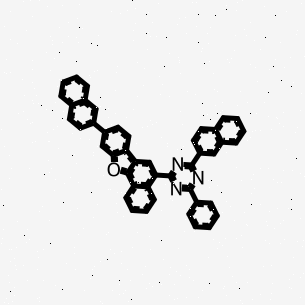 c1ccc(-c2nc(-c3ccc4ccccc4c3)nc(-c3cc4c5ccc(-c6ccc7ccccc7c6)cc5oc4c4ccccc34)n2)cc1